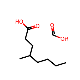 CCCCC(C)CCC(=O)O.O=CO